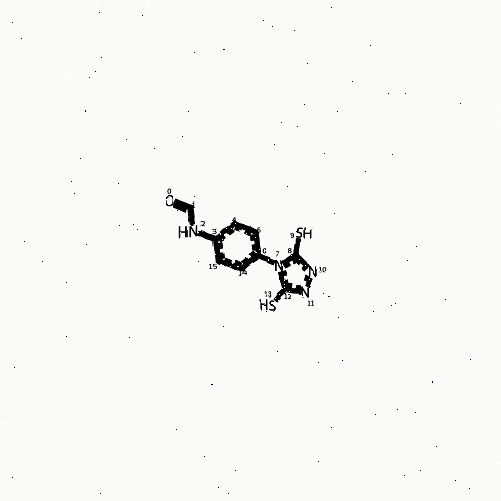 O=CNc1ccc(-n2c(S)nnc2S)cc1